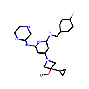 COC1(C2CC2)CN(C2CC(NCC3CCC(F)CC3)NC(NC3CNCCN3)C2)C1